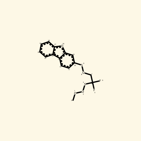 COOSC(F)(F)COSc1ccc2c(c1)oc1ccccc12